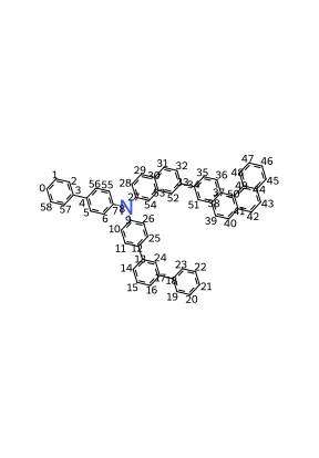 c1ccc(-c2ccc(N(c3ccc(-c4cccc(-c5ccccc5)c4)cc3)c3ccc4ccc(-c5ccc6c(ccc7ccc8ccccc8c76)c5)cc4c3)cc2)cc1